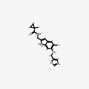 CC1(C(=O)NCc2cc3cc(F)c(OCc4cnco4)cc3[nH]2)CC1